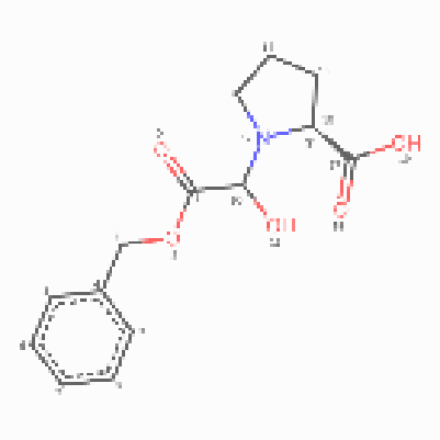 O=C(OCc1ccccc1)C(O)N1CCC[C@H]1C(=O)O